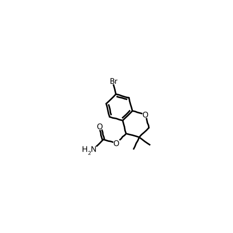 CC1(C)COc2cc(Br)ccc2C1OC(N)=O